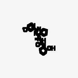 COc1ccnc(-c2nc3c(c(N(C)CC(=O)N[C@@H]4CCCC[C@@H]4O)n2)CCCC3)c1